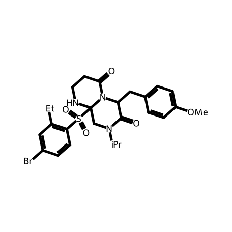 CCc1cc(Br)ccc1S(=O)(=O)C12CN(C(C)C)C(=O)C(Cc3ccc(OC)cc3)N1C(=O)CCN2